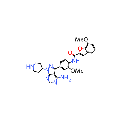 COc1cc(-c2nn(C3CCNCC3)c3ncnc(N)c23)ccc1NC(=O)c1cc2cccc(OC)c2o1